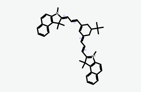 CN1/C(=C/C=C/C2=CC(=C/C=C/C3=[N+](C)c4ccc5ccccc5c4C3(C)C)/CC(C(C)(C)C)C2)C(C)(C)c2c1ccc1ccccc21